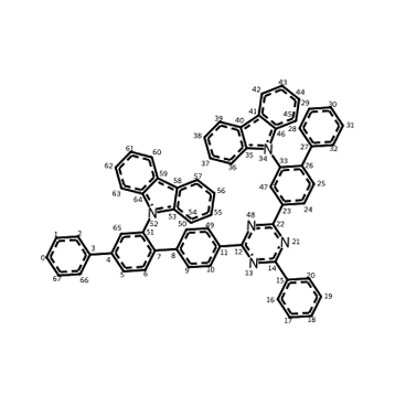 c1ccc(-c2ccc(-c3ccc(-c4nc(-c5ccccc5)nc(-c5ccc(-c6ccccc6)c(-n6c7ccccc7c7ccccc76)c5)n4)cc3)c(-n3c4ccccc4c4ccccc43)c2)cc1